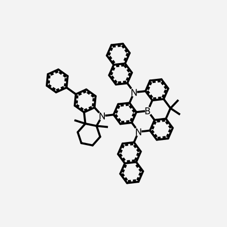 CC1(C)c2cccc3c2B2c4c(cc(N5c6ccc(-c7ccccc7)cc6C6(C)CCCCC56C)cc4N(c4ccc5ccccc5c4)c4cccc1c42)N3c1ccc2ccccc2c1